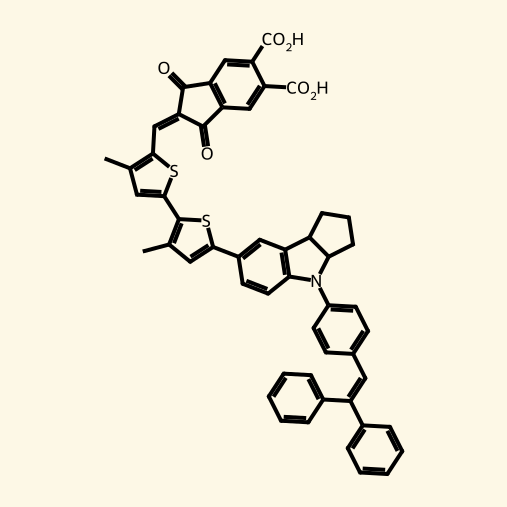 Cc1cc(-c2sc(-c3ccc4c(c3)C3CCCC3N4c3ccc(C=C(c4ccccc4)c4ccccc4)cc3)cc2C)sc1C=C1C(=O)c2cc(C(=O)O)c(C(=O)O)cc2C1=O